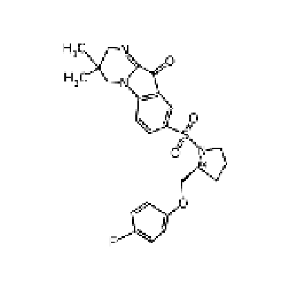 CC1(C)CN=C2C(=O)c3cc(S(=O)(=O)N4CCC[C@H]4COc4ccc(F)cc4)ccc3N2C1